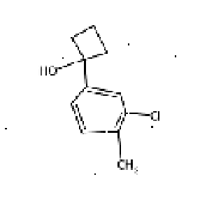 Cc1ccc(C2(O)CCC2)cc1Cl